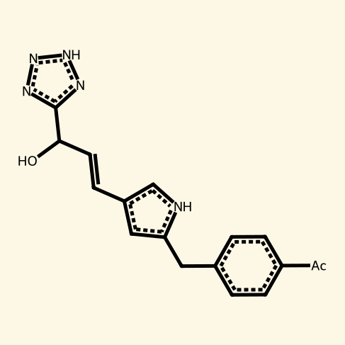 CC(=O)c1ccc(Cc2cc(C=CC(O)c3nn[nH]n3)c[nH]2)cc1